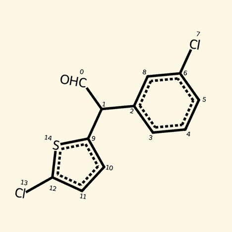 O=CC(c1cccc(Cl)c1)c1ccc(Cl)s1